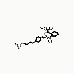 CCCCCc1ccc(C=CC(=O)Nc2ccccc2CC(=O)O)cc1